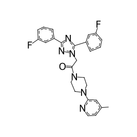 Cc1ccnc(N2CCN(C(=O)Cn3nc(-c4cccc(F)c4)nc3-c3cccc(F)c3)CC2)c1